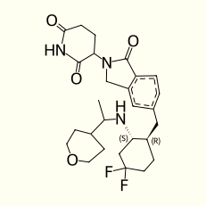 CC(N[C@H]1CC(F)(F)CC[C@@H]1Cc1ccc2c(c1)CN(C1CCC(=O)NC1=O)C2=O)C1CCOCC1